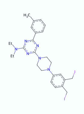 CCN(CC)c1nc(-c2cccc(C)c2)nc(N2CCN(c3ccc(CI)c(CI)c3)CC2)n1